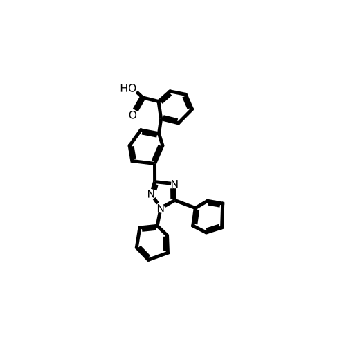 O=C(O)c1ccccc1-c1cccc(-c2nc(-c3ccccc3)n(-c3ccccc3)n2)c1